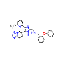 Cc1cccc(-c2nc(CNCc3ccccc3Oc3ccccc3)[nH]c2-c2ccc3ncnn3c2)n1